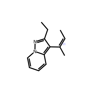 C/C=C(/C)c1c(CC)nn2ccccc12